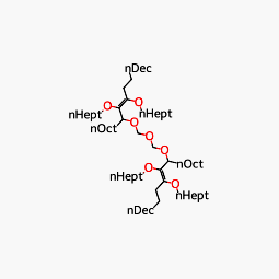 CCCCCCCCCCCCC(OCCCCCCC)=C(OCCCCCCC)C(CCCCCCCC)OCOCOC(CCCCCCCC)C(OCCCCCCC)=C(CCCCCCCCCCCC)OCCCCCCC